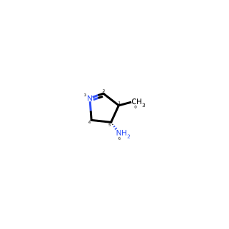 CC1C=NC[C@H]1N